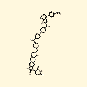 C[C@H]1CN(Cc2cc3c(cc2F)n([C@@H]2CCC(=O)NC2=O)c(=O)n3C)CCN1CC1CCN(C(=O)c2ccc(C3CCN([C@@H](C)c4cc5c(-c6ccc(N)nc6)ccnc5n4C)CC3)cc2)CC1